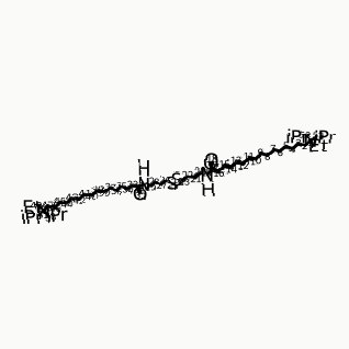 CC[N+](CCCCCCCCCCCCCCCC(=O)NCCCCSSCCCCNC(=O)CCCCCCCCCCCCCCC[N+](CC)(C(C)C)C(C)C)(C(C)C)C(C)C